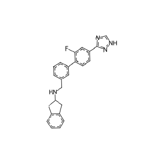 Fc1cc(-c2nc[nH]n2)ccc1-c1cccc(CNC2Cc3ccccc3C2)c1